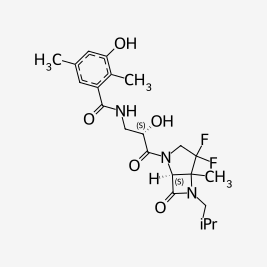 Cc1cc(O)c(C)c(C(=O)NC[C@H](O)C(=O)N2CC(F)(F)C3(C)[C@H]2C(=O)N3CC(C)C)c1